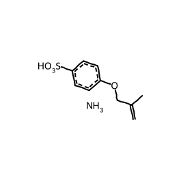 C=C(C)COc1ccc(S(=O)(=O)O)cc1.N